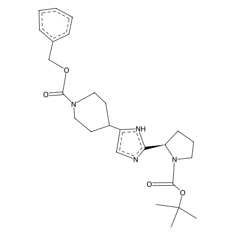 CC(C)(C)OC(=O)N1CCC[C@@H]1c1ncc(C2CCN(C(=O)OCc3ccccc3)CC2)[nH]1